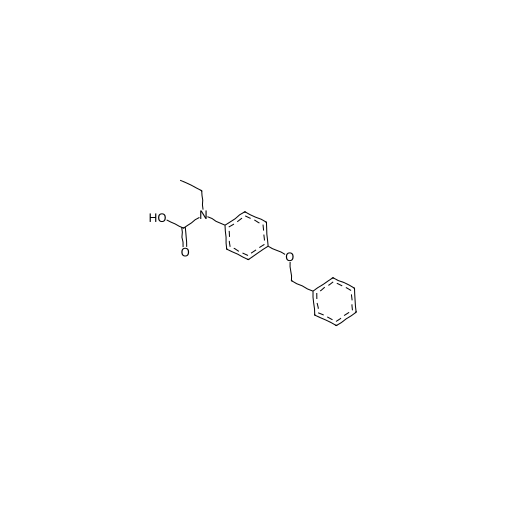 CCN(C(=O)O)c1ccc(OCc2ccccc2)cc1